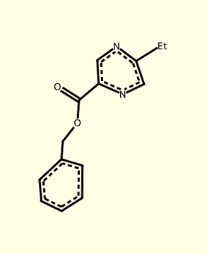 CCc1cnc(C(=O)OCc2ccccc2)cn1